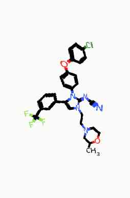 CC1CN(CCN2CC(c3cccc(C(F)(F)F)c3)N(c3ccc(Oc4ccc(Cl)cc4)cc3)C2=NC#N)CCO1